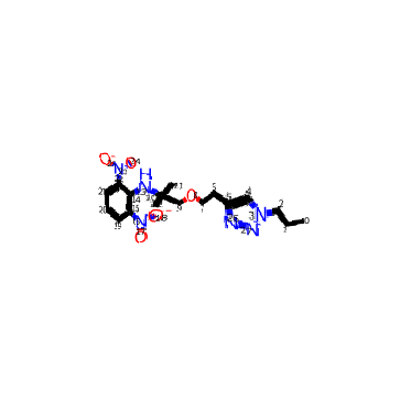 CCCn1cc(CCOCC(C)(C)Nc2c([N+](=O)[O-])cccc2[N+](=O)[O-])nn1